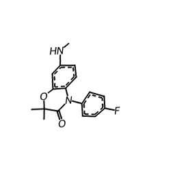 CNc1ccc2c(c1)OC(C)(C)C(=O)N2c1ccc(F)cc1